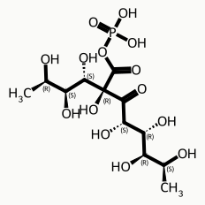 C[C@H](O)[C@@H](O)[C@@H](O)[C@H](O)C(=O)[C@@](O)(C(=O)OP(=O)(O)O)[C@@H](O)[C@@H](O)[C@@H](C)O